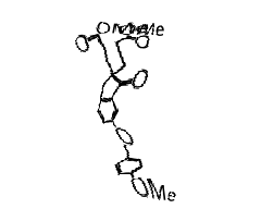 COC(=O)CCC1(CCC(=O)OC)Cc2ccc(OCc3ccc(OC)cc3)cc2C1=O